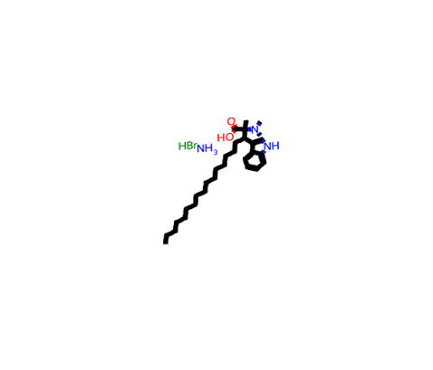 Br.CCCCCCCCCCCCCCCCC(c1c[nH]c2ccccc12)C(C)(C(=O)O)N(C)C.N